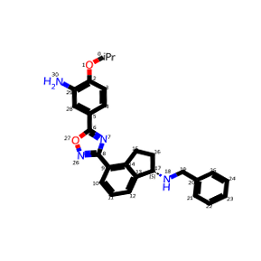 CC(C)Oc1ccc(-c2nc(-c3cccc4c3CC[C@@H]4NCc3ccccc3)no2)cc1N